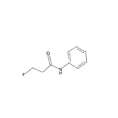 O=C(CCF)Nc1ccccc1